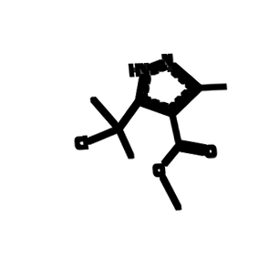 COC(=O)c1c(C)n[nH]c1C(C)(C)Cl